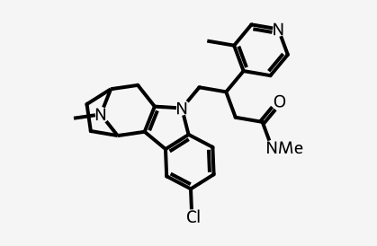 CNC(=O)CC(Cn1c2c(c3cc(Cl)ccc31)C1CCC(C2)N1C)c1ccncc1C